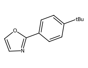 CC(C)(C)c1ccc(-c2ncco2)cc1